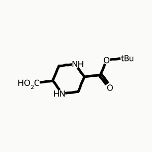 CC(C)(C)OC(=O)C1CNC(C(=O)O)CN1